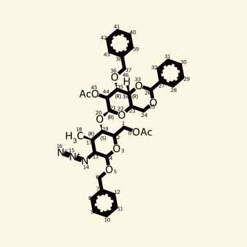 CC(=O)OCC1OC(OCc2ccccc2)C(N=[N+]=[N-])[C@@H](C)[C@@H]1O[C@@H]1OC2COC(c3ccccc3)O[C@H]2[C@@H](OCc2ccccc2)C1OC(C)=O